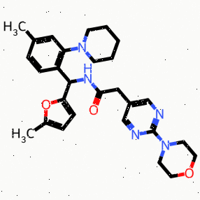 Cc1ccc(C(NC(=O)Cc2cnc(N3CCOCC3)nc2)c2ccc(C)o2)c(N2CCCCC2)c1